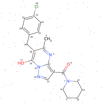 Cc1nc2c(C(=O)N3CCCCC3)cnn2c(O)c1Cc1ccc(Cl)cc1